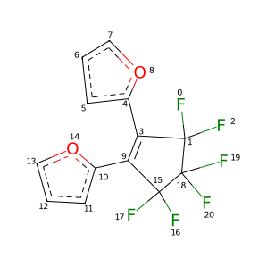 FC1(F)C(c2ccco2)=C(c2ccco2)C(F)(F)C1(F)F